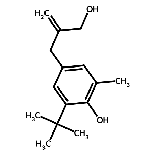 C=C(CO)Cc1cc(C)c(O)c(C(C)(C)C)c1